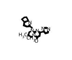 CC1(C)CN(Cc2ccc3c(n2)CCC3)c2nc(-c3ccncn3)cc(=O)n2C1